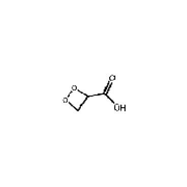 O=C(O)C1COO1